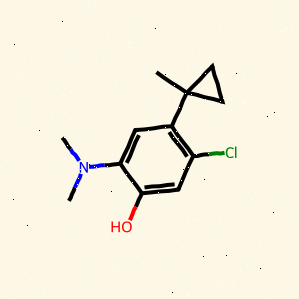 CN(C)c1cc(C2(C)CC2)c(Cl)cc1O